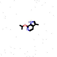 Cc1c[nH]c2c(OC(C)C)nccc12